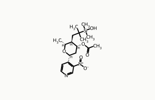 CC(=O)O[C@@H]1C[C@H](c2ccncc2[N+](=O)[O-])O[C@H](C)[C@H]1CC(C)(C)[Si](C)(C)O